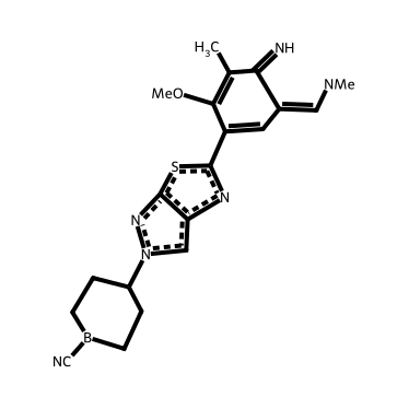 CN/C=C1/C=C(c2nc3cn(C4CCB(C#N)CC4)nc3s2)C(OC)=C(C)C1=N